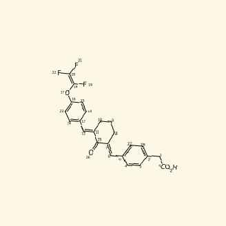 O=C(O)Cc1ccc(C=C2CCCC(=Cc3ccc(OC(F)=C(F)F)cc3)C2=O)cc1